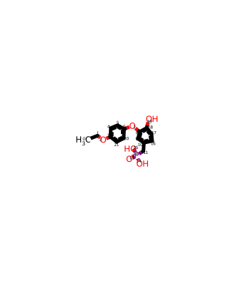 CCOc1ccc(Oc2cc(CP(=O)(O)O)ccc2O)cc1